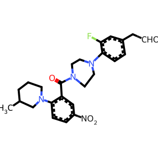 CC1CCCN(c2ccc([N+](=O)[O-])cc2C(=O)N2CCN(c3ccc(CC=O)cc3F)CC2)C1